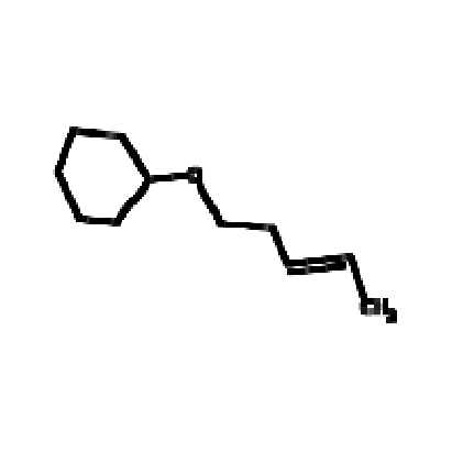 CC=CCCOC1CCCCC1